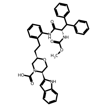 COC(=O)N[C@H](C(=O)Nc1ccccc1CC[C@@H]1CN(C(=O)O)[C@H](c2cc3ccccc3[nH]2)CO1)C(c1ccccc1)c1ccccc1